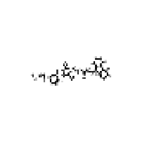 NN=Cc1ccc(CC2NC(=O)N(CC[N]C(=O)OCC3c4ccccc4-c4ccccc43)C2=O)cc1